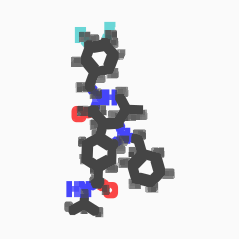 CC(C)NC(=O)c1ccc2c(C(=O)NCc3ccc(F)c(F)c3)c(C(C)C)n(Cc3ccccc3)c2c1